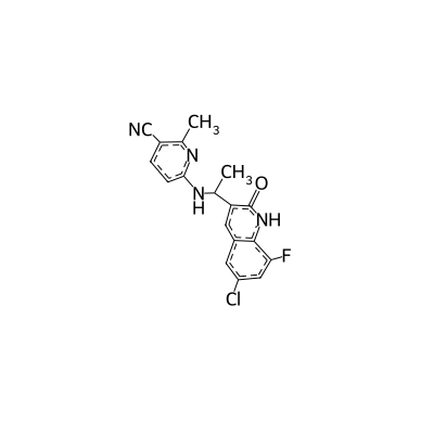 Cc1nc(NC(C)c2cc3cc(Cl)cc(F)c3[nH]c2=O)ccc1C#N